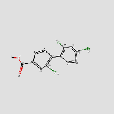 COC(=O)c1ccc(-c2ccc(Br)cc2F)c(F)c1